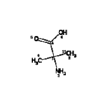 CC([11CH3])(N)C(=O)O